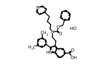 Cc1cc(C)cc(-c2[nH]c3ccc(C(=O)O)cc3c2CCN(CCCCc2ccncc2)C(=O)OCc2ccccc2)c1.Cl